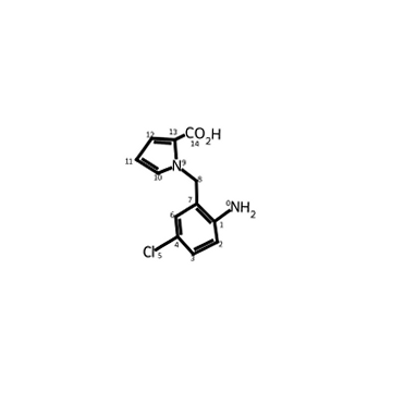 Nc1ccc(Cl)cc1Cn1cccc1C(=O)O